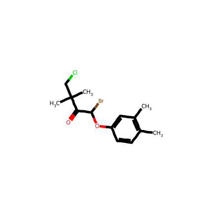 Cc1ccc(OC(Br)C(=O)C(C)(C)CCl)cc1C